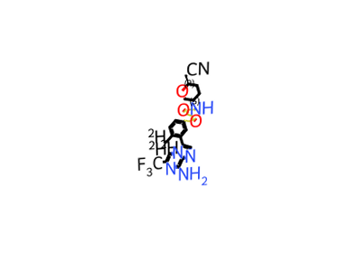 [2H]C([2H])([2H])c1ccc(S(=O)(=O)N[C@H]2CC[C@H](CC#N)OC2)cc1-c1cnc2c(N)nc(C(F)(F)F)cn12